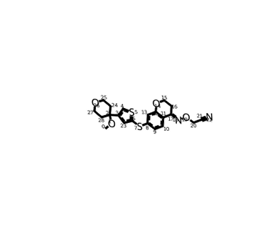 COC1(c2csc(Sc3ccc4c(c3)OCC/C4=N\OCC#N)c2)CCOCC1